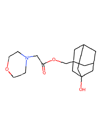 O=C(CN1CCOCC1)OCC12CC3CC(CC(O)(C3)C1)C2